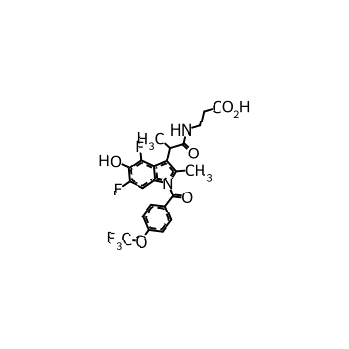 Cc1c(C(C)C(=O)NCCC(=O)O)c2c(F)c(O)c(F)cc2n1C(=O)c1ccc(OC(F)(F)F)cc1